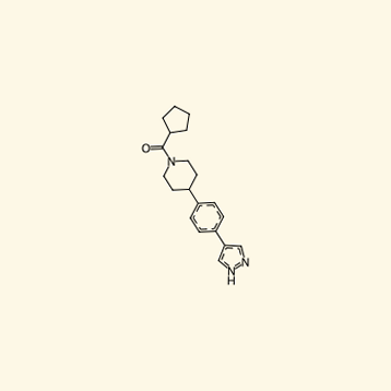 O=C(C1CCCC1)N1CCC(c2ccc(-c3cn[nH]c3)cc2)CC1